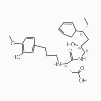 CC[C@H](C[C@@H](O)[C@H](C)NC(=O)[C@H](CC(=O)O)NCCCc1ccc(OC)c(O)c1)C1C=CC=CC1